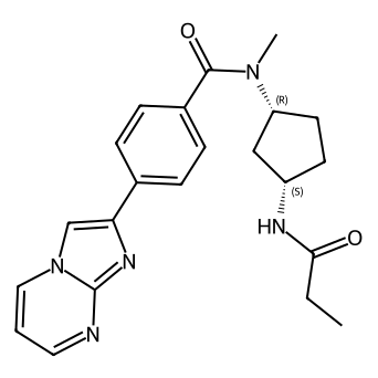 CCC(=O)N[C@H]1CC[C@@H](N(C)C(=O)c2ccc(-c3cn4cccnc4n3)cc2)C1